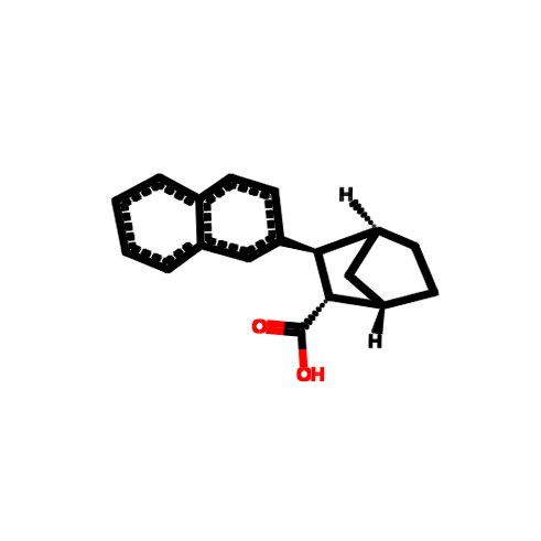 O=C(O)[C@H]1[C@H]2CC[C@@H](C2)[C@@H]1c1ccc2ccccc2c1